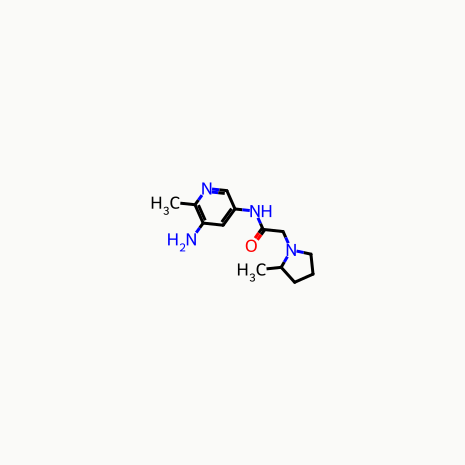 Cc1ncc(NC(=O)CN2CCCC2C)cc1N